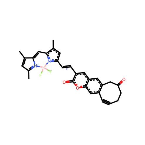 CC1=CC(C)=[N+]2C1=Cc1c(C)cc(/C=C/c3cc4cc5c(cc4oc3=O)C#CCCC(=O)C5)n1[B-]2(F)F